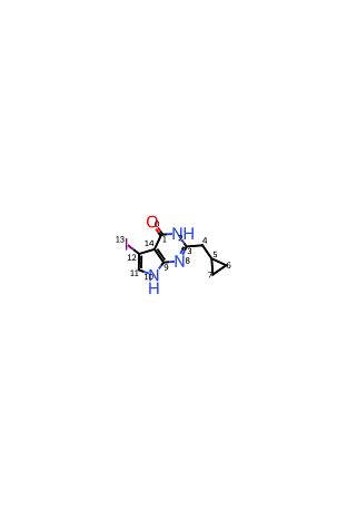 O=c1[nH]c(CC2CC2)nc2[nH]cc(I)c12